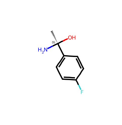 C[C@](N)(O)c1ccc(F)cc1